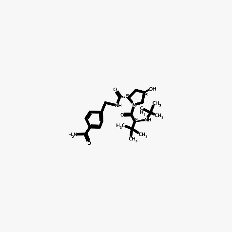 CC(C)(C)N[C@H](C(=O)N1C[C@H](O)C[C@H]1C(=O)NCc1ccc(C(N)=O)cc1)C(C)(C)C